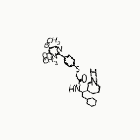 COc1cnc(-c2ccc(SCC(=O)NC(CC3CCCCC3)C3CCCNC3)cc2)nc1OC